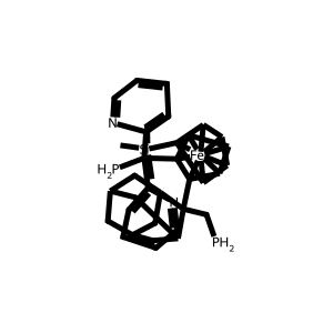 C[Si](C)(C)[C]12[CH]3[CH]4[CH]5[CH]1[Fe]45321678[CH]2[CH]1[C]6(C(P)(c1ccccn1)c1ccccn1)[C]7(C1(CP)C3CC4CC(C3)CC1C4)[CH]28